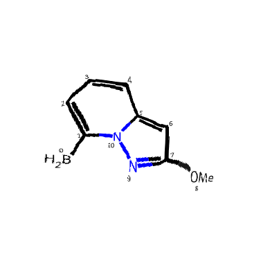 Bc1cccc2cc(OC)nn12